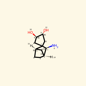 N[C@H]1[C@H]2CC[C@H](C2)C12C[C@@H](O)[C@H](O)C2